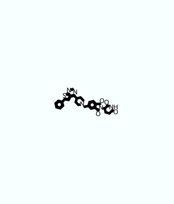 O=C1CCC(N2C(=O)c3ccc(CN4CCC(c5ncnc6sc(-c7ccccc7)cc56)CC4)cc3C2=O)C(=O)N1